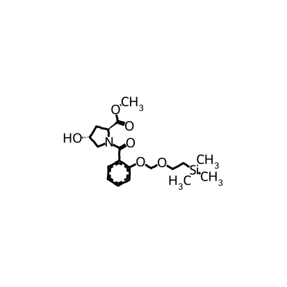 COC(=O)[C@@H]1C[C@@H](O)CN1C(=O)c1ccccc1OCOCC[Si](C)(C)C